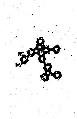 N#Cc1ccc(-c2ccc3c4ccccc4n(-c4ccc(-c5ccc6c(c5)c5ccccc5n6-c5ccccc5)cc4-c4nc(-c5ccccc5)nc(-c5ccccc5)n4)c3c2)c(C#N)c1